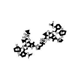 Cc1c(-n2nccn2)sc2c1c(=O)n(C1(C(=O)NS(=O)(=O)C(C)(C)Cc3cnn(-c4sc5c(c4C)c(=O)n(C4(C(=O)NS(=O)(=O)C6(C)CC6)CC4)c(=O)n5C[C@H](O[C@@H]4C[C@H]5CC[C@@H](C4)O5)c4cc(F)ccc4OC(F)F)n3)CC1)c(=O)n2C[C@H](O[C@@H]1C[C@H]2CC[C@@H](C1)O2)c1ccccc1OC(F)F